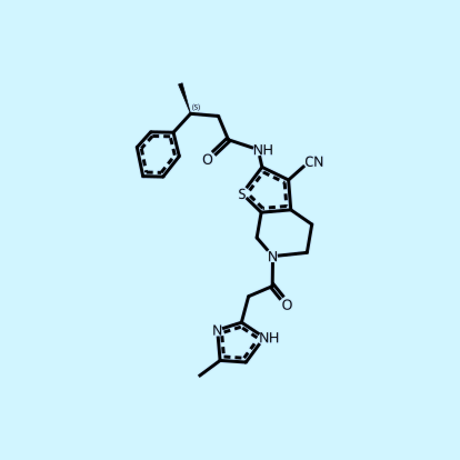 Cc1c[nH]c(CC(=O)N2CCc3c(sc(NC(=O)C[C@H](C)c4ccccc4)c3C#N)C2)n1